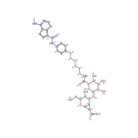 CNc1ncnc2c1ccn2C(=O)Nc1ccc(OCCOCCNC(=O)C2OC(OC3C(O)C(CO)OC4C3N4C(C)=O)C(O)C(O)C2O)cc1